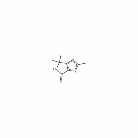 Cc1nc2c(s1)C(=O)NC2(C)C